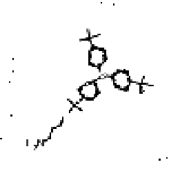 CC(C)(C)c1ccc(B(c2ccc(C(C)(C)C)cc2)c2ccc(C(C)(C)C)cc2)cc1.CCCCN